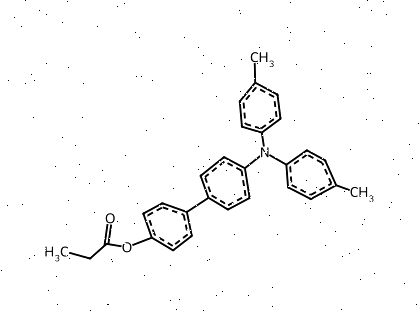 CCC(=O)Oc1ccc(-c2ccc(N(c3ccc(C)cc3)c3ccc(C)cc3)cc2)cc1